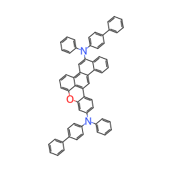 c1ccc(-c2ccc(N(c3ccccc3)c3ccc4c(c3)Oc3cccc5c3c-4cc3c4ccccc4c(N(c4ccccc4)c4ccc(-c6ccccc6)cc4)cc53)cc2)cc1